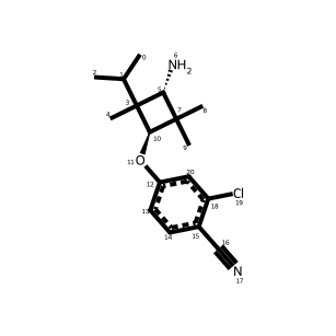 CC(C)C1(C)[C@H](N)C(C)(C)[C@H]1Oc1ccc(C#N)c(Cl)c1